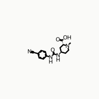 CN1CC[C@@H](NC(=O)Nc2ccc(C#N)cc2)C[C@@H]1C(=O)O